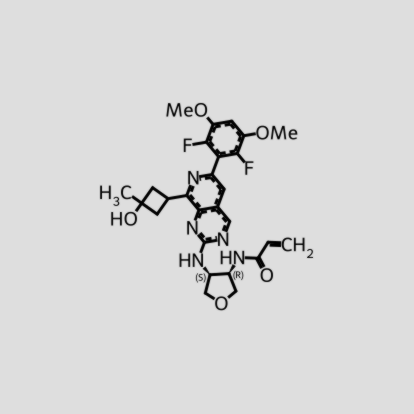 C=CC(=O)N[C@H]1COC[C@H]1Nc1ncc2cc(-c3c(F)c(OC)cc(OC)c3F)nc(C3CC(C)(O)C3)c2n1